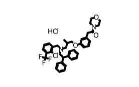 CC(COc1cccc(CC(=O)N2CCOCC2)c1)CN(Cc1cccc(C(F)(F)F)c1Cl)CC(c1ccccc1)c1ccccc1.Cl